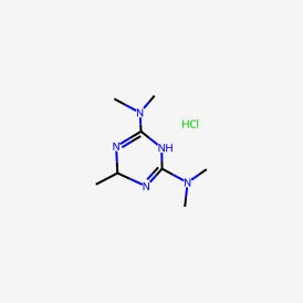 CC1N=C(N(C)C)NC(N(C)C)=N1.Cl